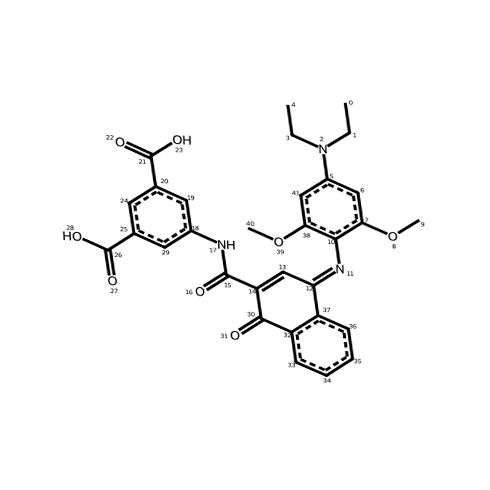 CCN(CC)c1cc(OC)c(/N=C2\C=C(C(=O)Nc3cc(C(=O)O)cc(C(=O)O)c3)C(=O)c3ccccc32)c(OC)c1